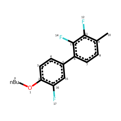 CCCCOc1ccc(-c2ccc(C)c(F)c2F)cc1F